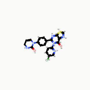 O=C1NCC=CN1c1ccc(-c2nc3scnc3c(=O)n2-c2ccc(Cl)cn2)cc1